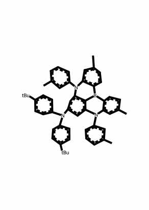 Cc1cccc(N2c3cc(C)ccc3B3c4ccc(C)cc4N(c4cccc(C)c4)c4cc(N(c5ccc(C(C)(C)C)cc5)c5ccc(C(C)(C)C)cc5)cc2c43)c1